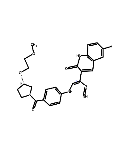 COCCO[C@H]1CCN(C(=O)c2ccc(N/C=C(\N=N)c3cc4cc(F)ccc4[nH]c3=O)cc2)C1